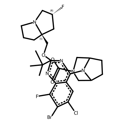 CC(C)(C)OC(=O)N1CC2CCC(C1)N2c1nc(OC[C@@]23CCCN2C[C@H](F)C3)nc2c(F)c(Br)c(Cl)cc12